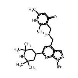 Cc1cc(=O)c(CNCc2cc(C3CC(C)(C)NC(C)(C)C3)nc3c2cnn3C(C)C)c(C)[nH]1